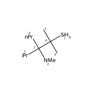 CCCC(NC)(C(C)C)C(C)(C)[SiH3]